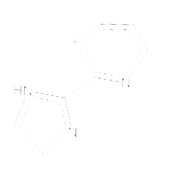 [c]1ccnc(-c2ncc[nH]2)c1